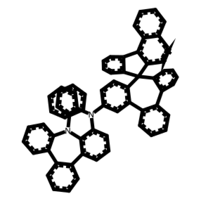 c1ccc(N(c2ccc3c(c2)-c2ccccc2-c2ccccc2C32c3ccccc3-c3c2c2ccccc2c2ccccc32)c2cccc3c2N(c2ccccc2)c2ccccc2-c2ccccc2-3)cc1